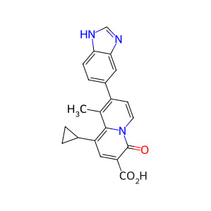 Cc1c(-c2ccc3[nH]cnc3c2)ccn2c(=O)c(C(=O)O)cc(C3CC3)c12